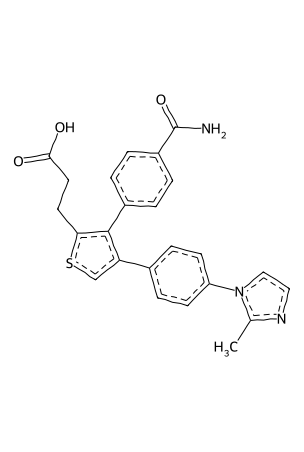 Cc1nccn1-c1ccc(-c2csc(CCC(=O)O)c2-c2ccc(C(N)=O)cc2)cc1